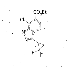 CCOC(=O)c1ccn2c(C3CC3(F)F)nnc2c1Cl